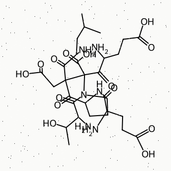 CC(C)CC(N)C(=O)C(CC(=O)O)(C(=O)C1CCCN1)C(C(=O)O)(C(=O)C(N)CCC(=O)O)N(C(=O)C(N)CCC(=O)O)C(=O)C(N)C(C)O